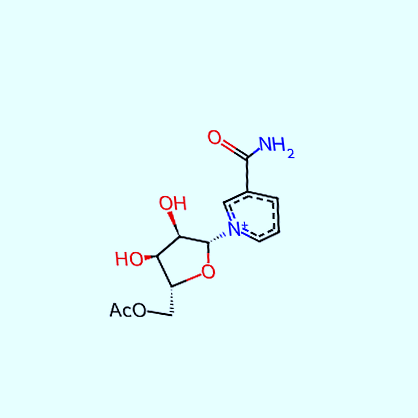 CC(=O)OC[C@H]1O[C@@H]([n+]2cccc(C(N)=O)c2)[C@H](O)[C@@H]1O